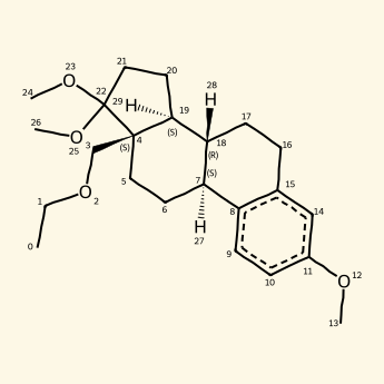 CCOC[C@]12CC[C@@H]3c4ccc(OC)cc4CC[C@H]3[C@@H]1CCC2(OC)OC